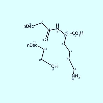 CCCCCCCCCCCC(=O)N[C@@H](CCCCN)C(=O)O.CCCCCCCCCCCCO